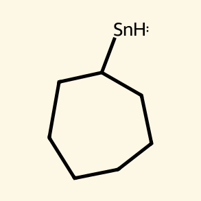 [SnH][CH]1CCCCCC1